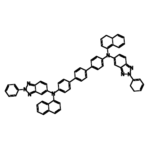 C1=CCCC(n2nc3ccc(N(C4=C5C=CC=CC5CC=C4)c4ccc(-c5ccc(-c6ccc(N(c7ccc8nn(-c9ccccc9)nc8c7)c7cccc8ccccc78)cc6)cc5)cc4)cc3n2)=C1